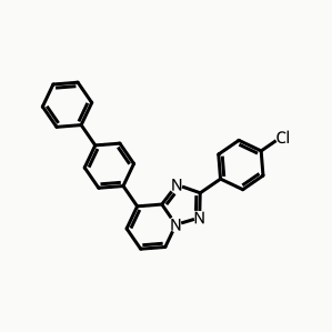 Clc1ccc(-c2nc3c(-c4ccc(-c5ccccc5)cc4)cccn3n2)cc1